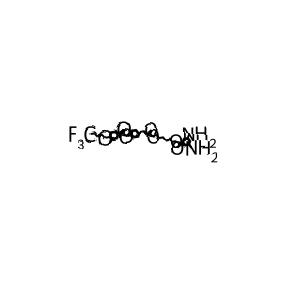 Nc1cc(N)cc(C(=O)OCCCCCCOC(=O)/C=C/c2ccc(OC(=O)c3ccc(OCCCC(F)(F)F)cc3)cc2)c1